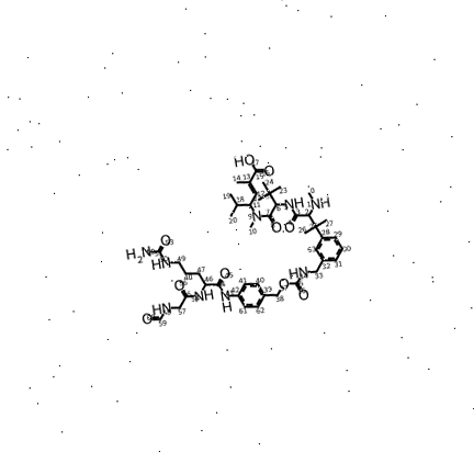 CNC(C(=O)NC(C(=O)N(C)C(/C=C(\C)C(=O)O)C(C)C)C(C)(C)C)C(C)(C)c1cccc(CNC(=O)OCc2ccc(NC(=O)C(CCCNC(N)=O)NC(=O)CNC=O)cc2)c1